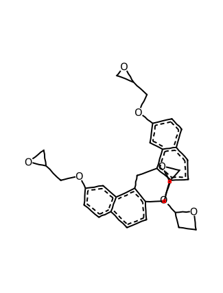 c1cc2ccc(CC3CO3)c(Cc3c(OC4CCO4)ccc4ccc(OCC5CO5)cc34)c2cc1OCC1CO1